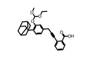 CCOC(OC)Oc1cc(CC#Cc2ccccc2C(=O)O)ccc1C12CC3CC(CC(C3)C1)C2